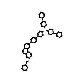 c1ccc(-c2ccc(N(c3ccc(-c4ccccc4)cc3)c3ccc(-c4ccc(-c5ccc6ccc7c(ccc8nc(-c9ccccc9)oc87)c6c5)cc4)cc3)cc2)cc1